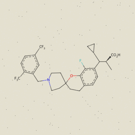 C[C@H](C(=O)O)C(c1ccc2c(c1F)OC1(CC2)CCN(Cc2cc(C(F)(F)F)ccc2C(F)(F)F)CC1)C1CC1